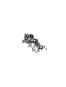 C[C@H]1[C@@H](CC(C)(C)CF)CCN1c1ncc2c3c(c(-c4ncc(F)c5sc(N)c(C#N)c45)c(F)c2n1)COC3